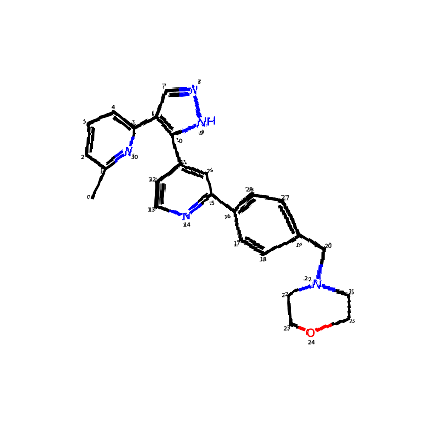 Cc1cccc(-c2cn[nH]c2-c2ccnc(-c3ccc(CN4CCOCC4)cc3)c2)n1